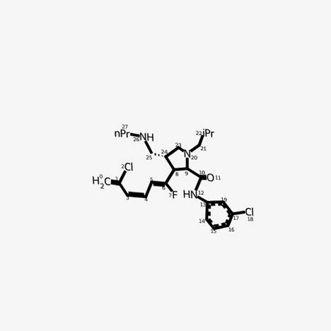 C=C(Cl)/C=C\C=C(/F)C1C(C(=O)Nc2cccc(Cl)c2)N(CC(C)C)C[C@H]1CNCCC